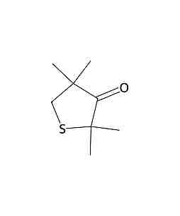 CC1(C)CSC(C)(C)C1=O